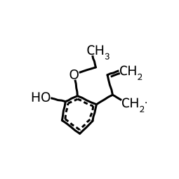 [CH2]C(C=C)c1cccc(O)c1OCC